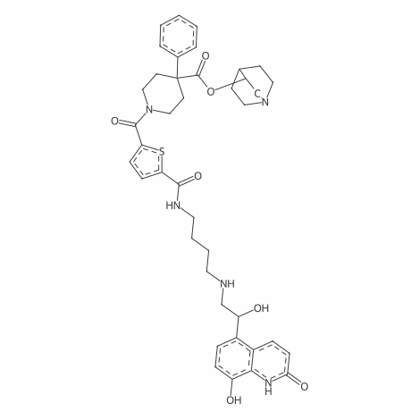 O=C(NCCCCNCC(O)c1ccc(O)c2[nH]c(=O)ccc12)c1ccc(C(=O)N2CCC(C(=O)OC3CN4CCC3CC4)(c3ccccc3)CC2)s1